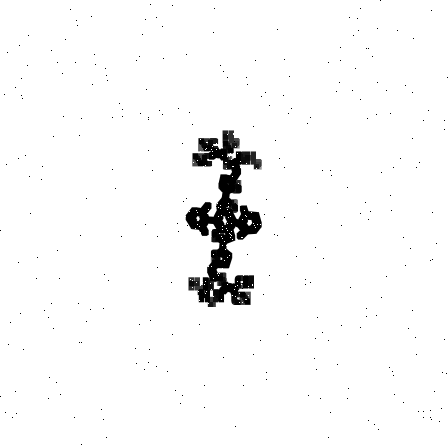 Cc1cccc(C)c1-c1c2cc(-c3ccc(/C=C(/N)SC(N)=C(C#N)C#N)s3)sc2c(-c2c(C)cccc2C)c2cc(-c3ccc(/C=C(/N)SC(N)=C(C#N)C#N)s3)sc12